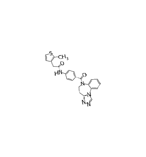 Cc1sccc1CC(=O)Nc1ccc(C(=O)N2CCc3nncn3-c3ccccc32)cc1